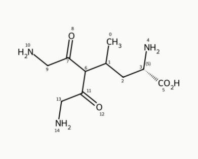 CC(C[C@H](N)C(=O)O)C(C(=O)CN)C(=O)CN